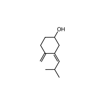 C=C1CCC(O)C/C1=C/C(C)C